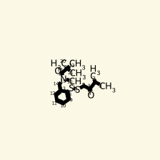 CC(C)C(=O)CSSc1ccccc1CN(C)C(=O)C(C)(C)C